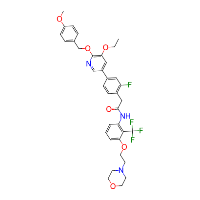 CCOc1cc(-c2ccc(CC(=O)Nc3cccc(OCCN4CCOCC4)c3C(F)(F)F)c(F)c2)cnc1OCc1ccc(OC)cc1